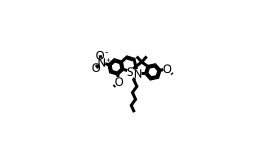 CCCCCCN1c2ccc(OC)cc2C(C)(C)C12C=Cc1cc([N+](=O)[O-])cc(OC)c1S2